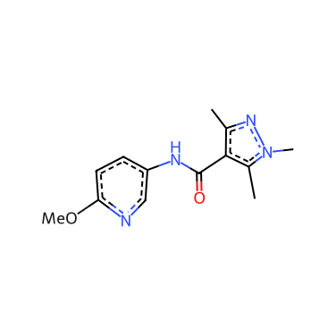 COc1ccc(NC(=O)c2c(C)nn(C)c2C)cn1